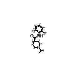 CC(C)N1CCC(C)(C(=O)Nc2c(F)cccc2F)CC1